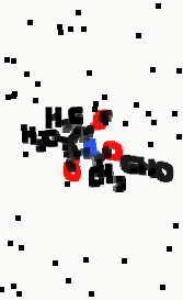 CC1=C(C)C(=O)N(C(C)OC=O)C1=O